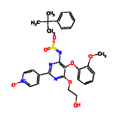 CC(C)(C)c1ccccc1.COc1ccccc1Oc1c(N=S(=O)=O)nc(-c2cc[n+]([O-])cc2)nc1OCCO